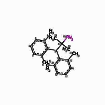 Cc1cccc(C)c1C(c1c(C)cccc1C)C(C)(C)P